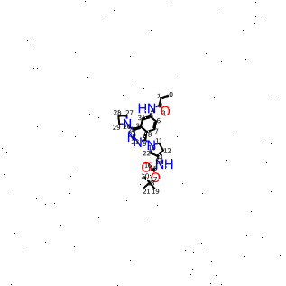 C=CC(=O)Nc1ccc2c(N3CCC(NC(=O)OC(C)(C)C)C3)nnc(N3CCC3)c2c1